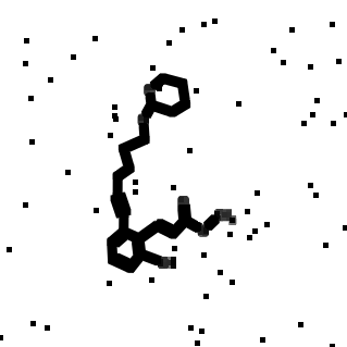 COC(=O)C=Cc1c(O)cccc1C#CCCCCOC1CCCCO1